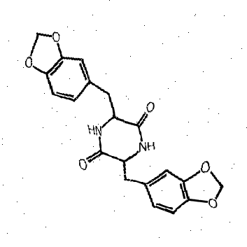 O=C1NC(Cc2ccc3c(c2)OCO3)C(=O)NC1Cc1ccc2c(c1)OCO2